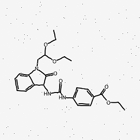 CCOC(=O)c1ccc(NC(=O)NC2C(=O)N(CC(OCC)OCC)c3ccccc32)cc1